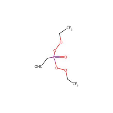 O=CCP(=O)(OOCC(F)(F)F)OOCC(F)(F)F